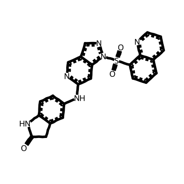 O=C1Cc2cc(Nc3cc4c(cn3)cnn4S(=O)(=O)c3cccc4cccnc34)ccc2N1